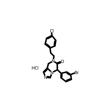 Cl.O=C1C(c2cccc(Br)c2)n2cncc2CN1CCc1ccc(Cl)cc1